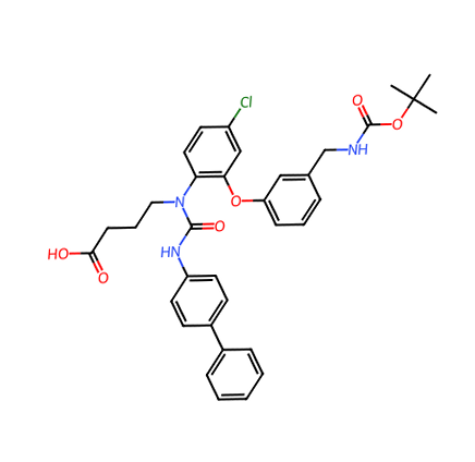 CC(C)(C)OC(=O)NCc1cccc(Oc2cc(Cl)ccc2N(CCCC(=O)O)C(=O)Nc2ccc(-c3ccccc3)cc2)c1